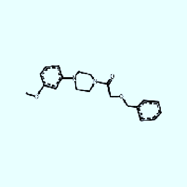 COc1cccc(N2CCN(C(=O)COCc3ccccc3)CC2)c1